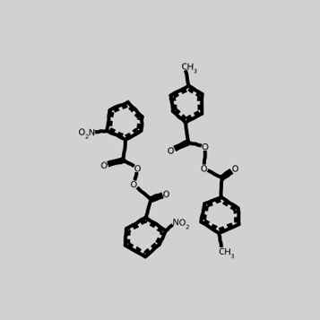 Cc1ccc(C(=O)OOC(=O)c2ccc(C)cc2)cc1.O=C(OOC(=O)c1ccccc1[N+](=O)[O-])c1ccccc1[N+](=O)[O-]